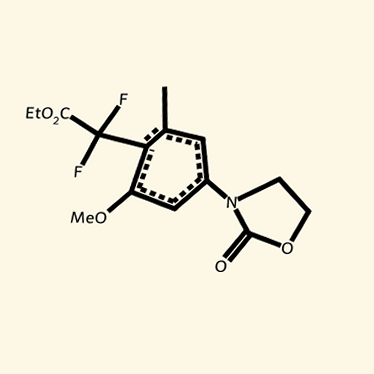 CCOC(=O)C(F)(F)c1c(C)cc(N2CCOC2=O)cc1OC